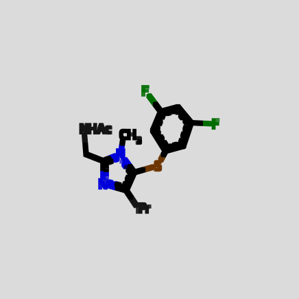 CC(=O)NCc1nc(C(C)C)c(Sc2cc(F)cc(F)c2)n1C